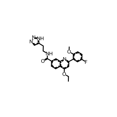 CCOc1cc(-c2cc(F)ccc2OC)nc2cc(C(=O)NCCc3cnn[nH]3)ccc12